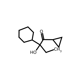 CCC(O)(C(=O)C1CC1)C1CCCCC1